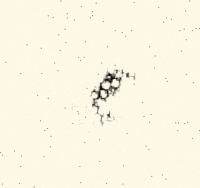 C=C(C)C(CC[C@@H](C)[C@H]1CC[C@@]2(C)[C@@H]3CC[C@H]4[C@](C)(C(=O)O)[C@@H](O)C[C@H](O)[C@@]45C[C@@]35CC[C@]12C)OO